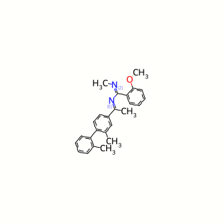 C/N=C(\N=C(/C)c1ccc(-c2ccccc2C)c(C)c1)c1ccccc1OC